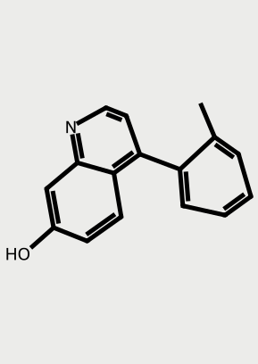 Cc1ccccc1-c1ccnc2cc(O)ccc12